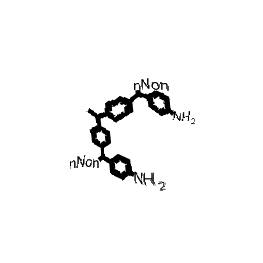 CCCCCCCCCC(c1ccc(N)cc1)c1ccc(C(C)c2ccc(C(CCCCCCCCC)c3ccc(N)cc3)cc2)cc1